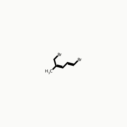 CC(=CC=CBr)CBr